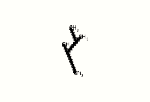 CCCCCCCCCCCCCCCCC(CCCCCC)CCCCCCCCCC(CCCC)CCCCCCCCCC